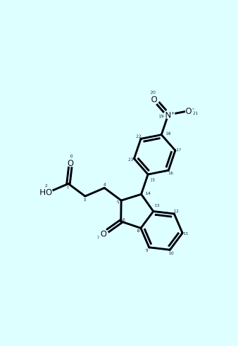 O=C(O)CCC1C(=O)c2ccccc2C1c1ccc([N+](=O)[O-])cc1